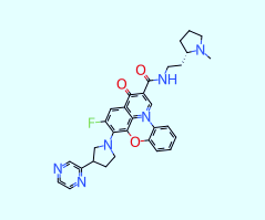 CN1CCC[C@H]1CCNC(=O)c1cn2c3c(c(N4CCC(c5cnccn5)C4)c(F)cc3c1=O)Oc1ccccc1-2